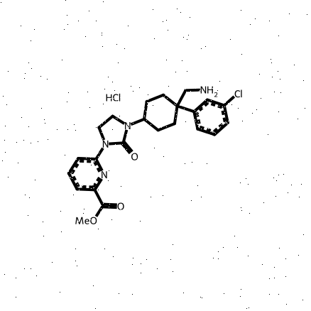 COC(=O)c1cccc(N2CCN(C3CCC(CN)(c4cccc(Cl)c4)CC3)C2=O)n1.Cl